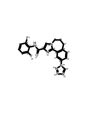 O=C(Nc1c(F)cccc1F)c1cn2c(n1)-c1cc(-n3cnnn3)ccc1CCC2